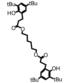 CC(C)(C)c1cc(CCC(=O)OCCCCCCOC(=O)CCc2cc(C(C)(C)C)cc(C(C)(C)C)c2O)c(O)c(C(C)(C)C)c1